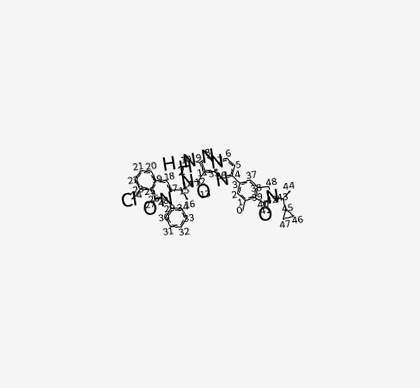 Cc1cc(-c2ccn3nc(N)c(C(=O)N[C@@H](C)c4cc5cccc(Cl)c5c(=O)n4-c4ccccc4)c3n2)cc2c1C(=O)N([C@@H](C)C1CC1)C2